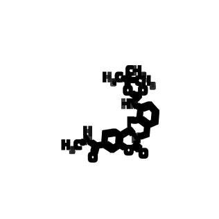 CNC(=O)c1ccc2c(c1)OC(=O)N(Cc1cccc(NC(=O)OC(C)(C)C)c1F)C2